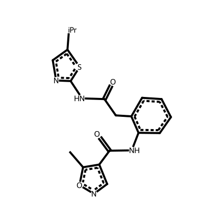 Cc1oncc1C(=O)Nc1ccccc1CC(=O)Nc1ncc(C(C)C)s1